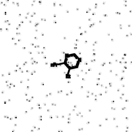 CCCc1ncncc1CC